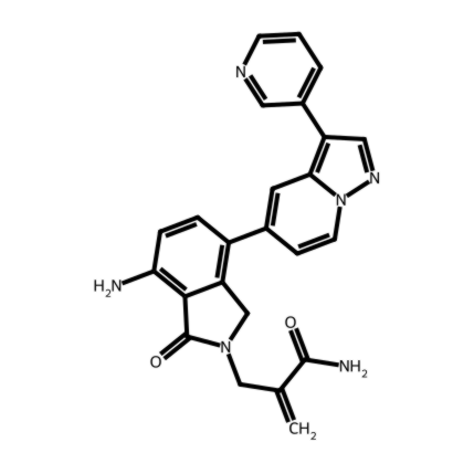 C=C(CN1Cc2c(-c3ccn4ncc(-c5cccnc5)c4c3)ccc(N)c2C1=O)C(N)=O